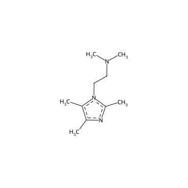 Cc1nc(C)n(CCN(C)C)c1C